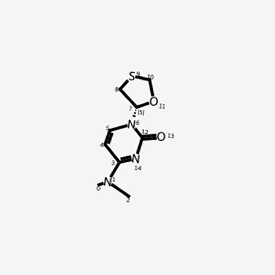 CN(C)c1ccn([C@@H]2CSCO2)c(=O)n1